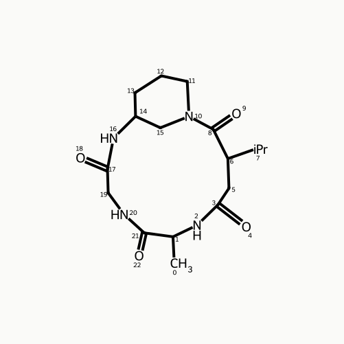 CC1NC(=O)CC(C(C)C)C(=O)N2CCCC(C2)NC(=O)CNC1=O